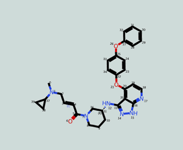 CN(C/C=C/C(=O)N1CCC[C@@H](Nc2n[nH]c3nccc(Oc4ccc(Oc5ccccc5)cc4)c23)C1)C1CC1